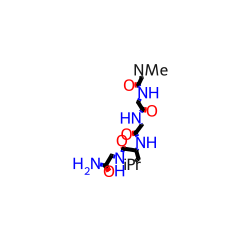 CNCC(=O)NCC(=O)NCC(=O)NC(CC(C)C)C(=O)NCC(N)=O